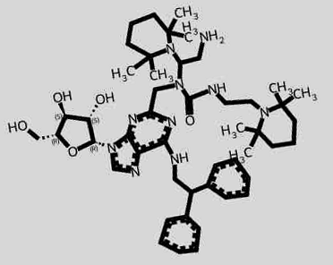 CC1(C)CCCC(C)(C)N1CCNC(=O)N(Cc1nc(NCC(c2ccccc2)c2ccccc2)c2ncn([C@@H]3O[C@H](CO)[C@@H](O)[C@@H]3O)c2n1)C(CN)N1C(C)(C)CCCC1(C)C